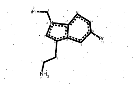 CC(C)Cn1cc(CCN)c2cc(Br)ccc21